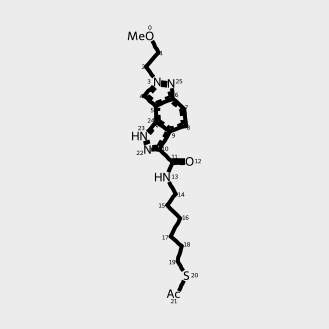 COCCn1cc2c(ccc3c(C(=O)NCCCCCCSC(C)=O)n[nH]c32)n1